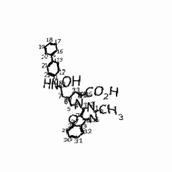 Cc1nc(N2C[C@@H](CC(O)Nc3ccc(-c4ccccc4)cc3)C[C@H]2C(=O)O)c2oc3ccccc3c2n1